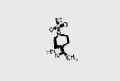 CCS(=O)(=O)N1CCc2c(C)n[nH]c2C1